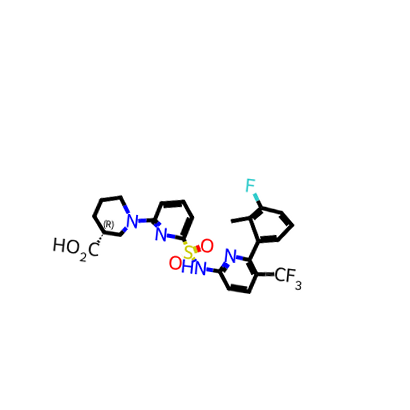 Cc1c(F)cccc1-c1nc(NS(=O)(=O)c2cccc(N3CCC[C@@H](C(=O)O)C3)n2)ccc1C(F)(F)F